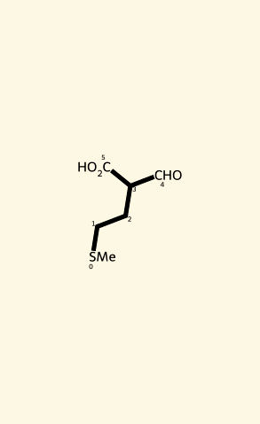 CSCCC(C=O)C(=O)O